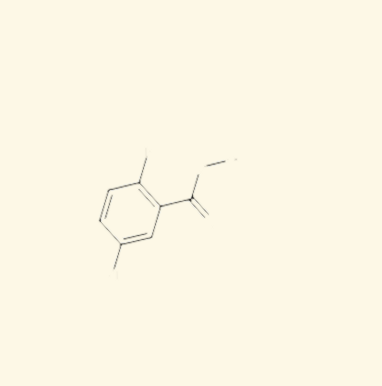 O=C(OO)c1cc(Cl)ccc1Br